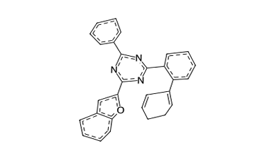 C1=CC(c2ccccc2-c2nc(-c3ccccc3)nc(-c3cc4ccccc4o3)n2)=CCC1